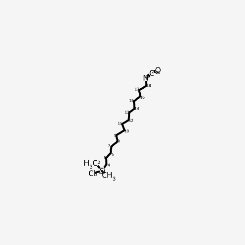 C[Si](C)(Cl)CCCCCCCCCCCCCCCN=C=O